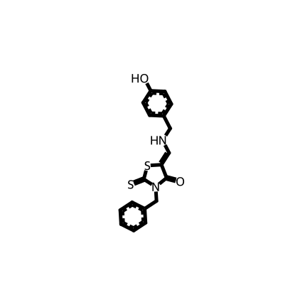 O=C1C(=CNCc2ccc(O)cc2)SC(=S)N1Cc1ccccc1